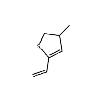 C=CC1=CC(C)CS1